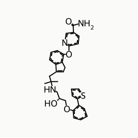 CC(C)(CC1=CCc2c(Oc3ccc(C(N)=O)cn3)cccc21)NC[C@H](O)COc1ccccc1-c1cccs1